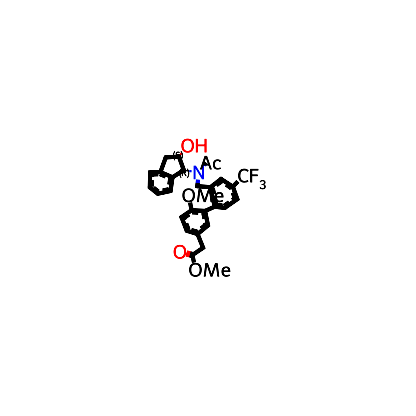 COC(=O)Cc1ccc(OC)c(-c2ccc(C(F)(F)F)cc2CN(C(C)=O)[C@@H]2c3ccccc3C[C@@H]2O)c1